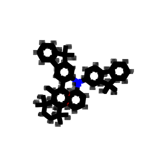 Cc1c(-c2cc3c(cc2N(c2ccccc2)c2ccc4c(c2)C(C)(C)c2ccccc2-4)C(C)(C)c2ccccc2-3)ccc2c1C(C)(C)CCC2(C)C